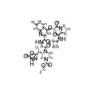 CCOC(=O)N1CCN(C(=O)[C@H](CCc2n[nH]c(=O)o2)NC(=O)c2cc(OCC(=O)N3CCC[C@H]3C(=O)NC3CCC3)c3ccc(C)cc3n2)CC1